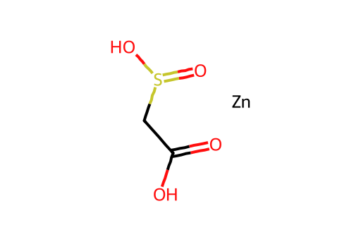 O=C(O)CS(=O)O.[Zn]